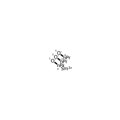 CCC[O-].CCC[O-].CCC[O-].[Sm+3]